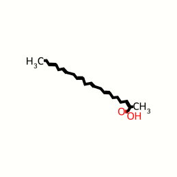 CCC=CCC=CCC=CCC=CCC=CCCCC=C(C)C(=O)O